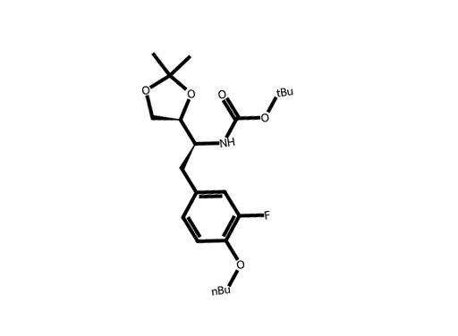 CCCCOc1ccc(C[C@H](NC(=O)OC(C)(C)C)[C@H]2COC(C)(C)O2)cc1F